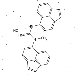 CN(C(=N)Nc1ccc2c3c(cccc13)C=C2)c1ccc2c3c(cccc13)C=C2.Cl